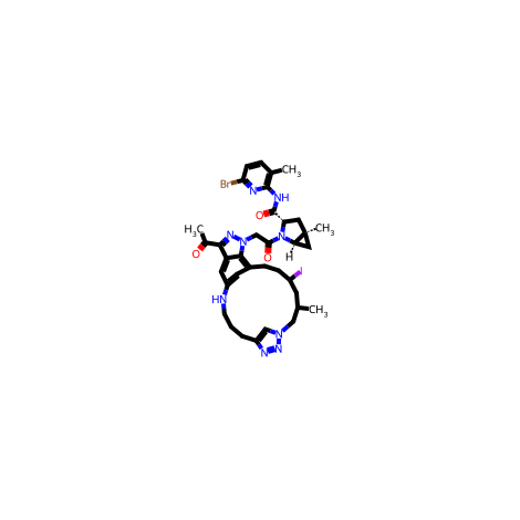 CC(=O)c1nn(CC(=O)N2[C@H](C(=O)Nc3nc(Br)ccc3C)C[C@@]3(C)C[C@@H]23)c2c3cc(cc12)NCCCc1cn(nn1)CC(C)CC(I)CC3